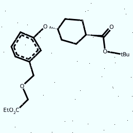 CCOC(=O)COCc1cccc(O[C@H]2CC[C@H](C(=O)OC(C)(C)C)CC2)c1